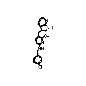 COc1nc(NCc2ccc(Cl)cc2)ccc1CC1CNc2ncccc21